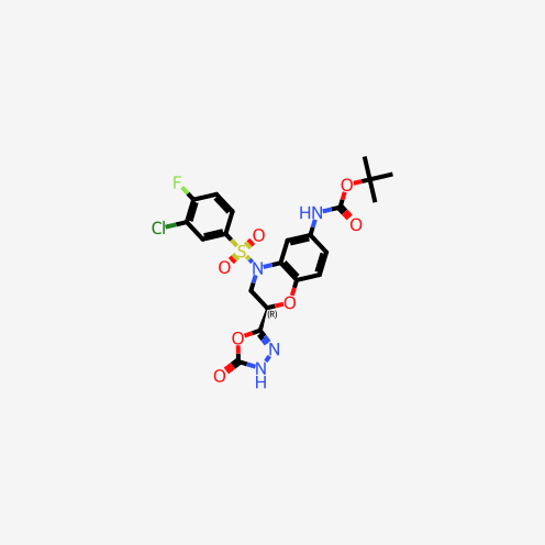 CC(C)(C)OC(=O)Nc1ccc2c(c1)N(S(=O)(=O)c1ccc(F)c(Cl)c1)C[C@H](c1n[nH]c(=O)o1)O2